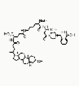 CNC(CCCCNC(=O)CCC(NC(=O)CCC(C)C1CCC2C3CC[C@H]4C[C@@H](O)CC[C@@]4(C)C3CC[C@@]12C)C(=O)O)C(=O)NC(CC(=O)N1CCN(Cc2ccccc2B(O)O)CC1)C(=O)O